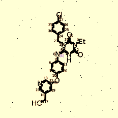 CCn1c(=O)[nH]/c(=N\c2ccc(Oc3cncc(CO)c3)cc2)n(Cc2ccc(Cl)cc2)c1=O